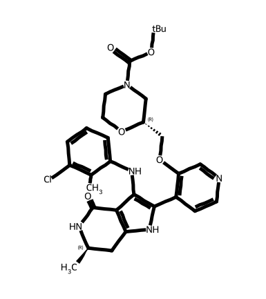 Cc1c(Cl)cccc1Nc1c(-c2ccncc2OC[C@H]2CN(C(=O)OC(C)(C)C)CCO2)[nH]c2c1C(=O)N[C@H](C)C2